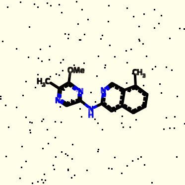 COc1nc(Nc2cc3cccc(C)c3cn2)cnc1C